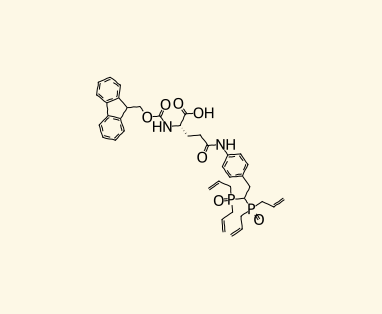 C=CCP(=O)(CC=C)C(Cc1ccc(NC(=O)CC[C@H](NC(=O)OCC2c3ccccc3-c3ccccc32)C(=O)O)cc1)P(=O)(CC=C)CC=C